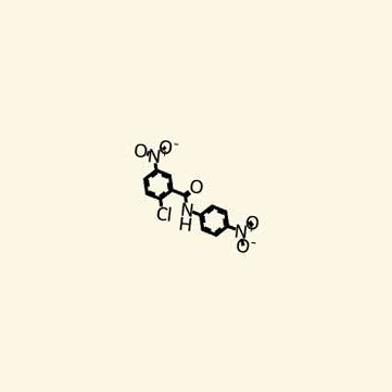 O=C(Nc1ccc([N+](=O)[O-])cc1)c1cc([N+](=O)[O-])ccc1Cl